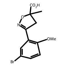 COc1ccc(Br)cc1C1=NOC(C)(C(=O)O)C1